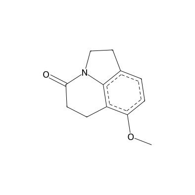 COc1ccc2c3c1CCC(=O)N3CC2